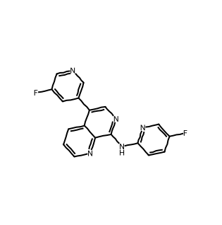 Fc1ccc(Nc2ncc(-c3cncc(F)c3)c3cccnc23)nc1